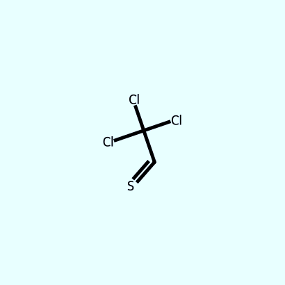 S=CC(Cl)(Cl)Cl